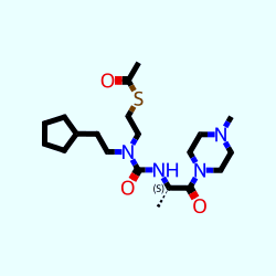 CC(=O)SCCN(CCC1CCCC1)C(=O)N[C@@H](C)C(=O)N1CCN(C)CC1